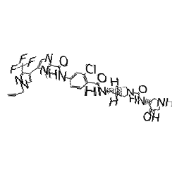 C#CCn1cc(-c2cnc(C(=O)Nc3ccc(C(=O)N[C@H]4[C@@H]5CN(C(=O)N[C@@H]6CNC[C@H]6O)C[C@@H]54)c(Cl)c3)n2C)c(C(F)(F)F)n1